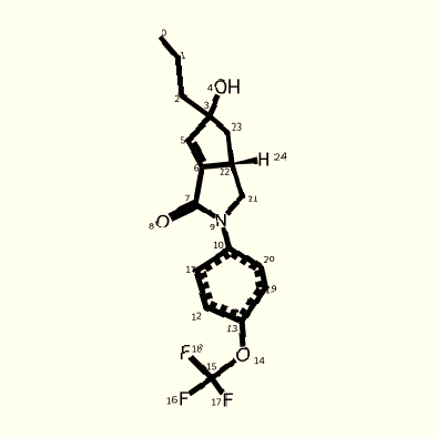 CCCC1(O)C=C2C(=O)N(c3ccc(OC(F)(F)F)cc3)C[C@H]2C1